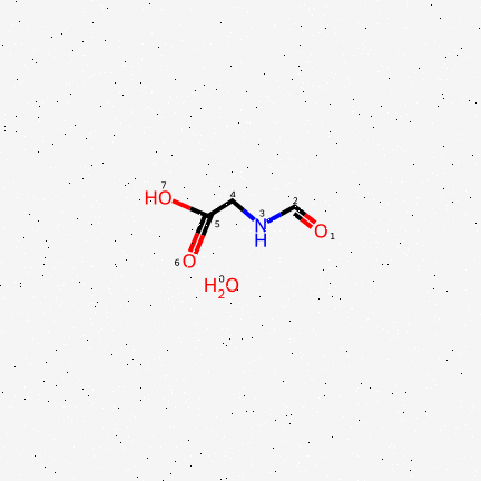 O.O=CNCC(=O)O